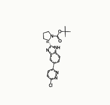 CC(C)(C)OC(=O)N1CCC[C@H]1c1nc2cc(-c3ccc(Cl)nn3)ccc2[nH]1